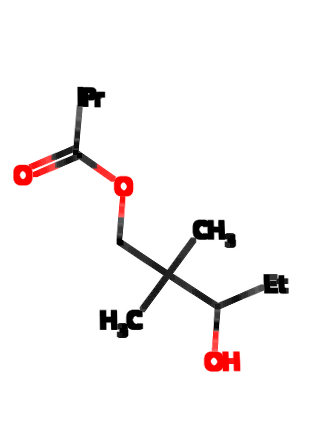 CCC(O)C(C)(C)COC(=O)C(C)C